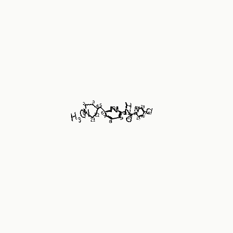 CN1CCC(Cc2cccc(NC(=O)c3ccc(Cl)cn3)n2)CC1